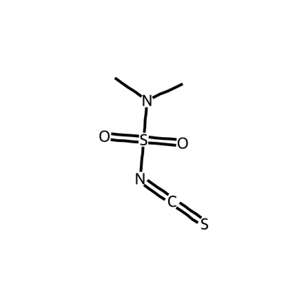 CN(C)S(=O)(=O)N=C=S